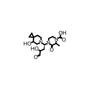 CC1C(=O)N([C@@H](CC(O)C=O)N2CCC3(CC3)C(O)C2)CCN1C(=O)O